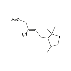 COCC(N)=CCC1C(C)CCC1(C)C